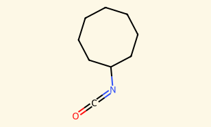 O=C=NC1CCCCCCC1